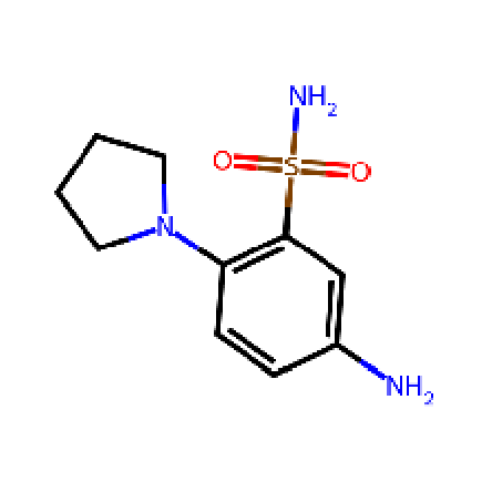 Nc1ccc(N2CCCC2)c(S(N)(=O)=O)c1